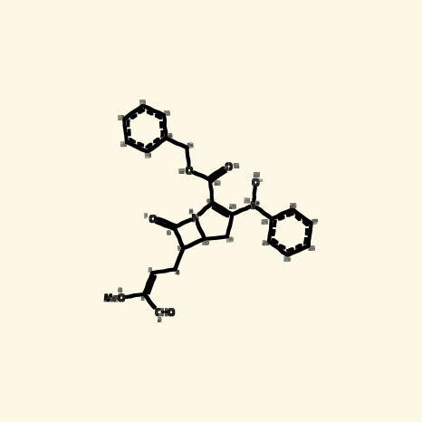 COC(C=O)=CCC1C(=O)N2C(C(=O)OCc3ccccc3)=C([S+]([O-])c3ccccc3)CC12